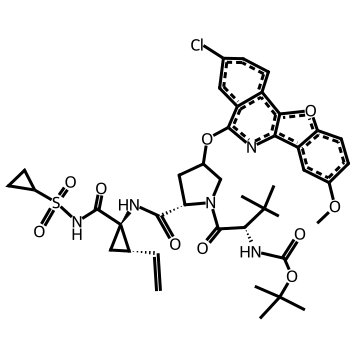 C=C[C@@H]1C[C@]1(NC(=O)[C@@H]1CC(Oc2nc3c4cc(OC)ccc4oc3c3ccc(Cl)cc23)CN1C(=O)[C@@H](NC(=O)OC(C)(C)C)C(C)(C)C)C(=O)NS(=O)(=O)C1CC1